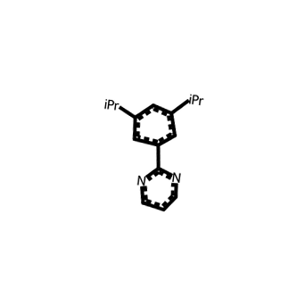 CC(C)c1cc(-c2ncccn2)cc(C(C)C)c1